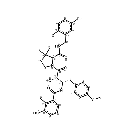 COc1ccc(C[C@H](NC(=O)c2cccc(O)c2C)[C@H](O)C(=O)N2CSC(C)(C)[C@H]2C(=O)NCc2cc(F)ccc2C)cc1